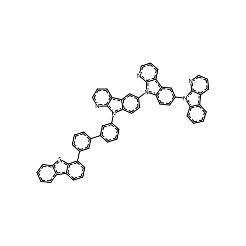 c1cc(-c2cccc(-n3c4ccc(-n5c6ccc(-n7c8ccccc8c8cccnc87)cc6c6cccnc65)cc4c4cccnc43)c2)cc(-c2cccc3c2sc2ccccc23)c1